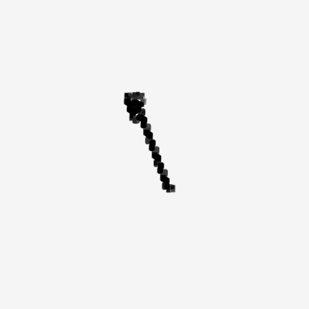 CCOCCOCCOCCOCCOCCOCCC(=O)Oc1c(F)cc(CNC(C)=O)cc1F